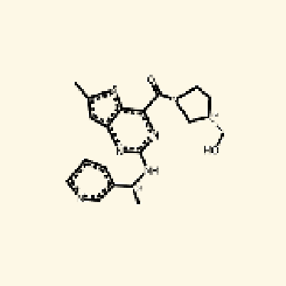 Cc1cc2nc(N[C@@H](C)c3cccnc3)nc(C(=O)N3CC[C@H](CO)C3)c2s1